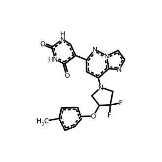 Cc1ccc(OC2CN(c3cc(-c4c[nH]c(=O)[nH]c4=O)nn4ccnc34)CC2(F)F)cc1